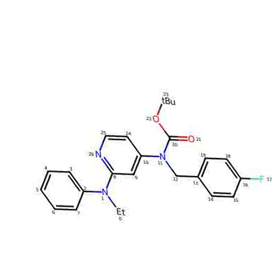 CCN(c1ccccc1)c1cc(N(Cc2ccc(F)cc2)C(=O)OC(C)(C)C)ccn1